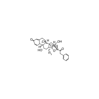 C[C@]12C[C@H](O)[C@H]3[C@@H](CCC4=CC(=O)C=C[C@@]43C)[C@]1(C)C[C@H]1CN(C(=O)Cc3ccccc3)O[C@]12C(=O)CO